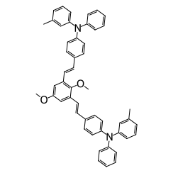 COc1cc(C=Cc2ccc(N(c3ccccc3)c3cccc(C)c3)cc2)c(OC)c(C=Cc2ccc(N(c3ccccc3)c3cccc(C)c3)cc2)c1